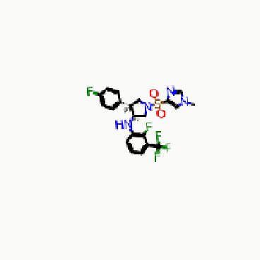 Cn1cnc(S(=O)(=O)N2C[C@@H](Nc3cccc(C(F)(F)F)c3F)[C@H](c3ccc(F)cc3)C2)c1